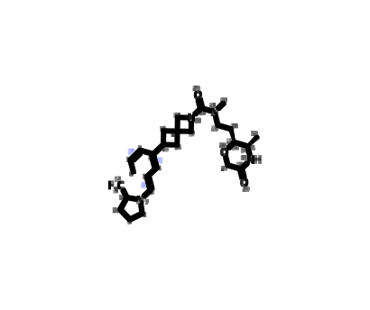 C\C=C/C(=C\C=C\N1CCCC1C(F)(F)F)C1CC2(C1)CN(C(=O)N(C)CC[C@@H]1OCC(=O)N[C@@H]1C)C2